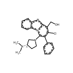 CN(C)[C@H]1CCN(c2c(-c3ccccc3)c(Cl)c(CO)c3nc4ccccc4n23)C1